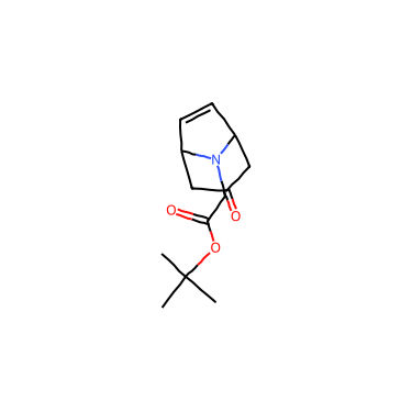 CC(C)(C)OC(=O)CN1C2C=CC1CC(=O)C2